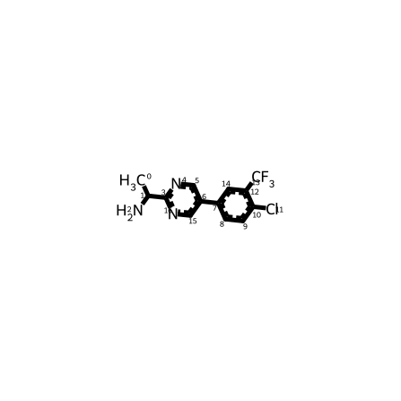 CC(N)c1ncc(-c2ccc(Cl)c(C(F)(F)F)c2)cn1